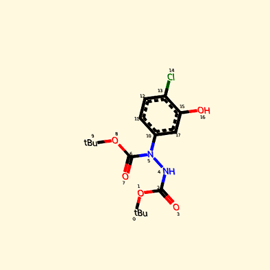 CC(C)(C)OC(=O)NN(C(=O)OC(C)(C)C)c1ccc(Cl)c(O)c1